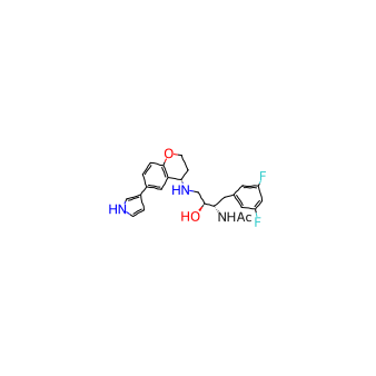 CC(=O)N[C@@H](Cc1cc(F)cc(F)c1)[C@@H](O)CN[C@H]1CCOc2ccc(-c3cc[nH]c3)cc21